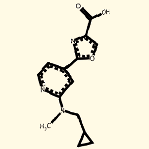 CN(CC1CC1)c1cc(-c2nc(C(=O)O)co2)ccn1